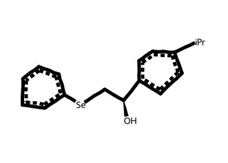 CC(C)c1ccc([C@@H](O)C[Se]c2ccccc2)cc1